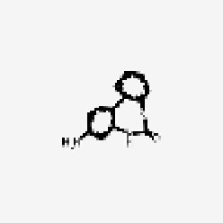 Nc1ccc2c(c1)NC(=O)Cc1ccccc1-2